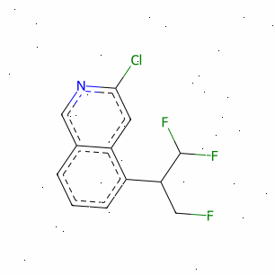 FCC(c1cccc2cnc(Cl)cc12)C(F)F